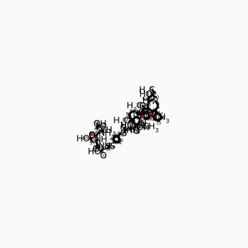 CC[C@]1(O)C[C@H]2CN(CCc3c([nH]c4ccccc34)[C@@](C(=O)OC)(c3cc4c(cc3OC)N(C)[C@H]3[C@@](O)(C(=O)NNC(=O)OCc5ccc(SSC[C@H](NC(=O)[C@H](CC(=O)O)NC(=O)[C@H](CC(=O)O)NC)C(=O)O)cc5)[C@H](O)[C@]5(CC)C=CCN6CC[C@]43[C@@H]65)C2)C1